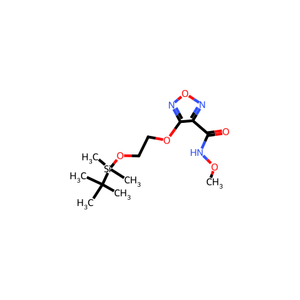 CONC(=O)c1nonc1OCCO[Si](C)(C)C(C)(C)C